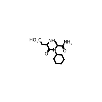 CC(C(N)=O)N(C(=O)C(N)CC(=O)O)C1CCCCC1